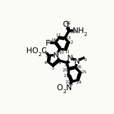 Cn1nc(-c2ccc(C(=O)O)n2-c2ccc(C(N)=O)cc2F)c2cc([N+](=O)[O-])ccc21